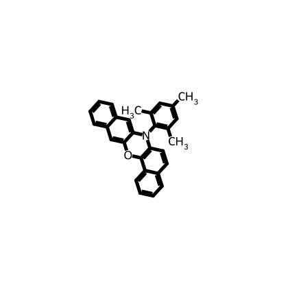 Cc1cc(C)c(N2c3cc4ccccc4cc3Oc3c2ccc2ccccc32)c(C)c1